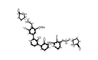 COc1cc(-c2nccc(-c3cccc(Nc4nccc(CNC[C@@H]5CCC(=O)N5)c4F)c3Cl)c2Cl)cc(F)c1CNC[C@@H]1CCC(=O)N1